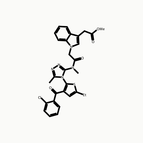 CCc1cc(C(=O)c2ccccc2Cl)c(-n2c(C)nnc2N(C)C(=O)Cn2cc(CC(=O)OC)c3ccccc32)s1